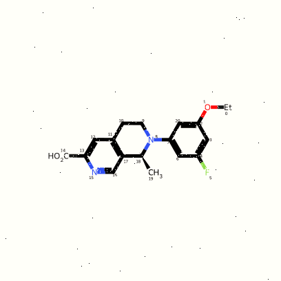 CCOc1cc(F)cc(N2CCc3cc(C(=O)O)ncc3[C@@H]2C)c1